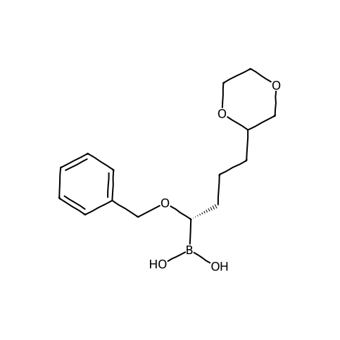 OB(O)[C@@H](CCCC1COCCO1)OCc1ccccc1